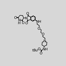 CC(C)(C)OC(=O)NC1CCN(CCOCCOCCNc2ccc3c(c2)C(=O)N(C2CCC(=O)NC2=O)C3=O)CC1